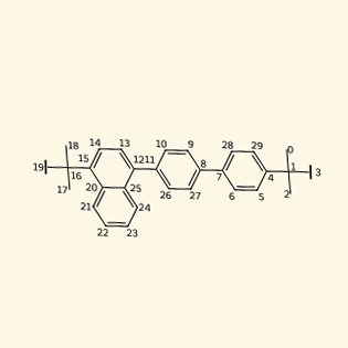 CC(C)(I)c1ccc(-c2ccc(-c3ccc(C(C)(C)I)c4ccccc34)cc2)cc1